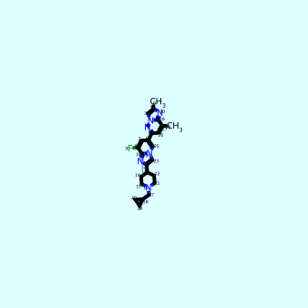 Cc1cn2nc(-c3cc(F)c4nc(C5CCN(CC6CC6)CC5)cn4c3)cc(C)c2n1